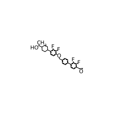 CC(O)C1CCC(c2ccc(OCc3ccc(-c4ccc(C5CO5)c(F)c4F)cc3)c(F)c2F)CC1